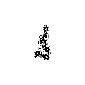 Cc1cccc(C(=O)Nc2cccc(Oc3ccc4c(c3)NC(=O)C4=Cc3[nH]c(C)c(C(=O)NCCN4CCOCC4)c3C)c2)c1